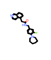 O=C(Cc1cccc2cnccc12)NCc1ccc(N2CCCCCC2)c(F)c1